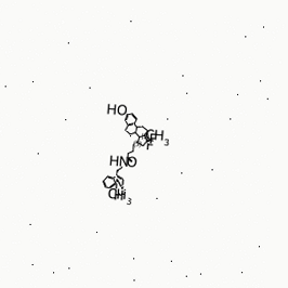 Cc1cccc2c(CCNC(=O)CCC[C@H]3CC(F)(F)[C@@]4(C)CCC5c6ccc(O)cc6CCC5C34)c[nH]c12